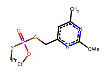 CCCSP(=O)(OCC)SCc1cc(C)nc(OC)n1